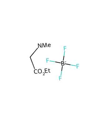 CCOC(=O)CNC.F[B-](F)(F)F